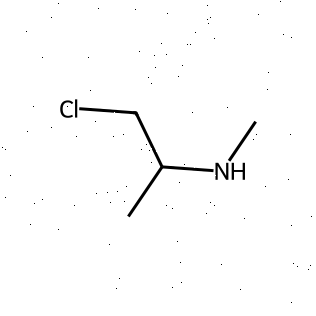 CNC(C)CCl